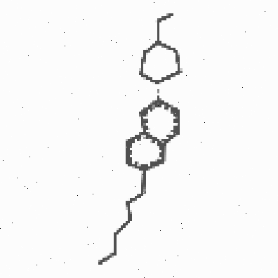 CCCCCCc1ccc2cc([C@H]3CC[C@H](CC)CC3)ccc2c1